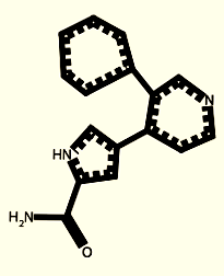 NC(=O)c1cc(-c2ccncc2-c2ccccc2)c[nH]1